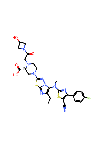 CCc1nc2sc(N3CCN(CC(=O)N4CC(O)C4)[C@@H](C(=O)O)C3)nn2c1N(C)c1nc(-c2ccc(F)cc2)c(C#N)s1